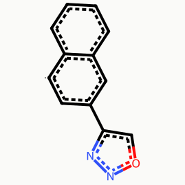 [c]1cc(-c2conn2)cc2ccccc12